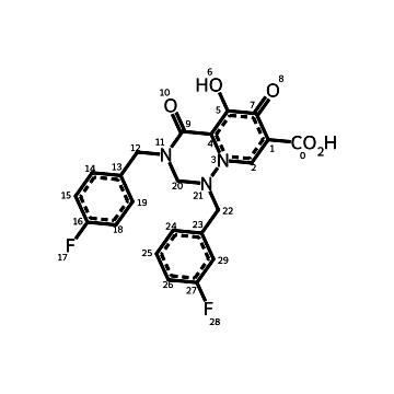 O=C(O)c1cn2c(c(O)c1=O)C(=O)N(Cc1ccc(F)cc1)CN2Cc1cccc(F)c1